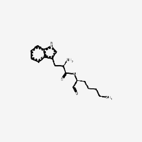 NCCCC[C@@H]([C]=O)NC(=O)[C@H](N)Cc1c[nH]c2ccccc12